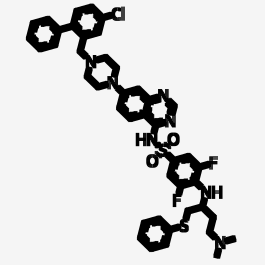 CN(C)CCC(CSc1ccccc1)Nc1c(F)cc(S(=O)(=O)Nc2ncnc3cc(N4CCN(Cc5cc(Cl)ccc5-c5ccccc5)CC4)ccc23)cc1F